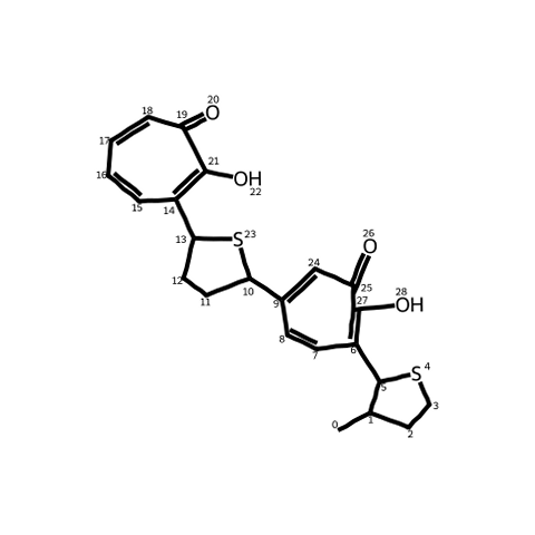 CC1CCSC1c1ccc(C2CCC(c3ccccc(=O)c3O)S2)cc(=O)c1O